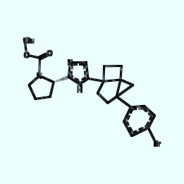 CC(C)(C)OC(=O)N1CCC[C@H]1c1ncc(C23CCC4(c5ccc(Br)cc5)CC42CC3)[nH]1